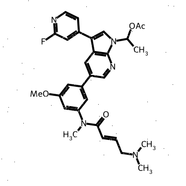 COc1cc(-c2cnc3c(c2)c(-c2ccnc(F)c2)cn3C(C)OC(C)=O)cc(N(C)C(=O)C=CCN(C)C)c1